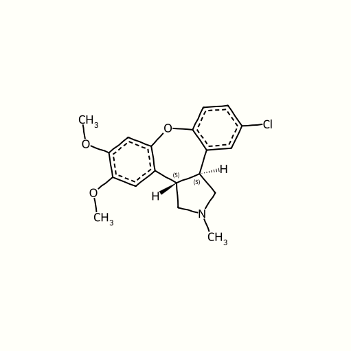 COc1cc2c(cc1OC)[C@H]1CN(C)C[C@@H]1c1cc(Cl)ccc1O2